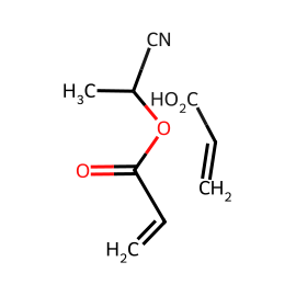 C=CC(=O)O.C=CC(=O)OC(C)C#N